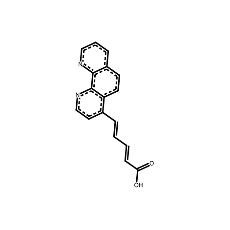 O=C(O)/C=C/C=C/c1ccnc2c1ccc1cccnc12